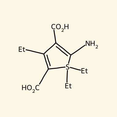 CCC1=C(C(=O)O)S(CC)(CC)C(N)=C1C(=O)O